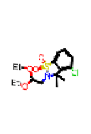 CCOC(CN1C(C)(C)c2c(Cl)cccc2S1(=O)=O)OCC